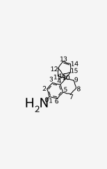 Nc1ccc2c(c1)CCCC21CC2C=CC1C2